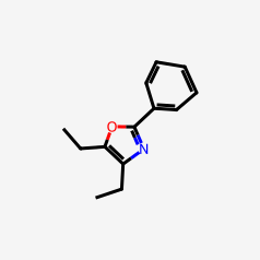 CCc1nc(-c2ccccc2)oc1CC